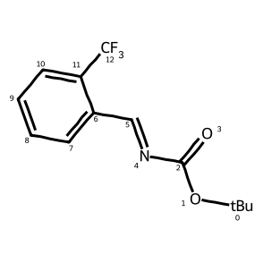 CC(C)(C)OC(=O)/N=C/c1ccccc1C(F)(F)F